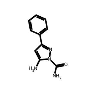 NC(=O)n1nc(-c2ccccc2)cc1N